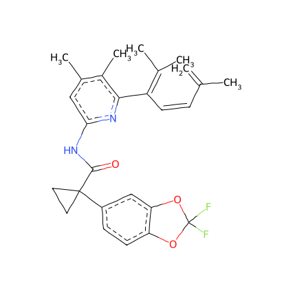 C=C(C)/C=C\C(=C(C)C)c1nc(NC(=O)C2(c3ccc4c(c3)OC(F)(F)O4)CC2)cc(C)c1C